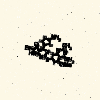 CCc1[nH]c2nc(Sc3cc(OC)c4c(N)nc(C)nc4c3)nc(C3CC[C@@H](N)C3)c2c1Cl